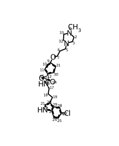 CN1CCN(CCCOc2ccc(S(=O)(=O)NCCCc3c[nH]c4ccc(Cl)cc34)cc2)CC1